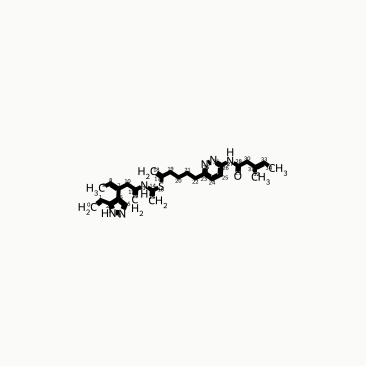 C=Cc1[nH]ncc1/C(=C\C)CC(=C)NC(=C)SC(=C)CCCCc1ccc(NC(=O)C/C(C)=C/C)nn1